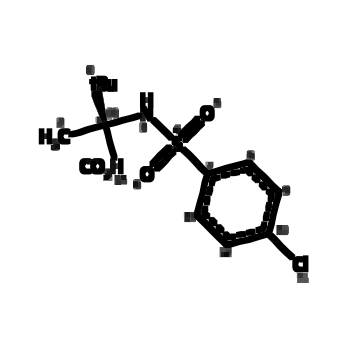 CC(C)(C)[C@@](C)(NS(=O)(=O)c1ccc(Cl)cc1)C(=O)O